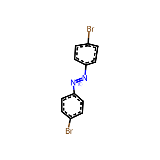 Brc1ccc(/N=N/c2ccc(Br)cc2)cc1